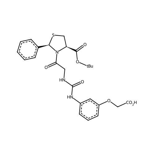 CC(C)(C)OC(=O)[C@@H]1CS[C@H](c2ccccc2)N1C(=O)CNC(=O)Nc1cccc(OCC(=O)O)c1